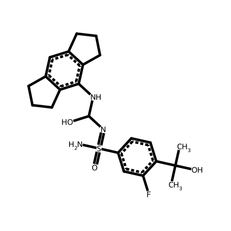 CC(C)(O)c1ccc(S(N)(=O)=NC(O)Nc2c3c(cc4c2CCC4)CCC3)cc1F